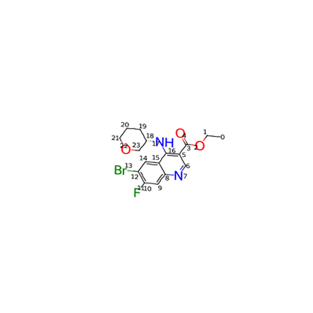 CCOC(=O)c1cnc2cc(F)c(Br)cc2c1N[C@H]1CCCOC1